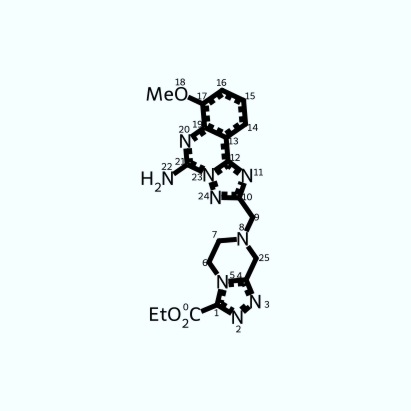 CCOC(=O)c1nnc2n1CCN(Cc1nc3c4cccc(OC)c4nc(N)n3n1)C2